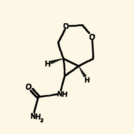 NC(=O)NC1[C@H]2COCOC[C@@H]12